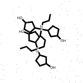 CCC[PH](CCC[PH](CCC)(C1CCC(O)C1)C1CCC(O)C1)(C1CCC(O)C1)C1CCC(O)C1